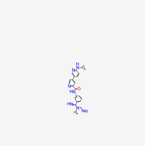 N=CN(C(=N)c1cccc(NC(=O)c2cc(-c3ccc(NC4CC4)nc3)ccn2)c1)C1CC1